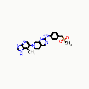 Cc1c(N2CCc3cnc(Nc4ccc(CS(C)(=O)=O)cc4)nc3C2)cnc2nc[nH]c12